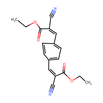 CCOC(=O)/C(C#N)=C\c1ccc(/C=C(/C#N)C(=O)OCC)cc1